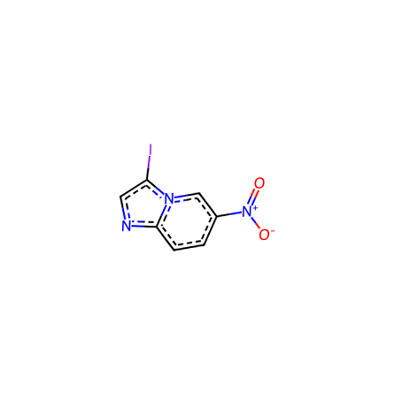 O=[N+]([O-])c1ccc2ncc(I)n2c1